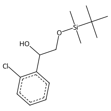 CC(C)(C)[Si](C)(C)OCC(O)c1ccccc1Cl